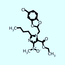 CCCCc1nc([S+](C)[O-])c(C(=O)OCC)n1CC1Oc2ccc(Cl)cc2O1